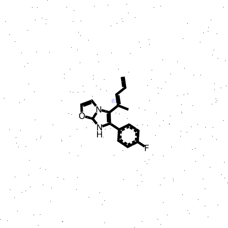 C=C/C=C(\C)C1=C(c2ccc(F)cc2)NC2OC=CN12